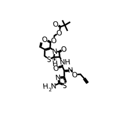 C#CCON=C(C(=O)NC1C(=O)N2C(C(=O)OCOC(=O)C(C)(C)C)=C(C=C)CS[C@@H]12)c1csc(N)n1